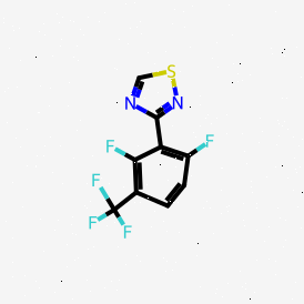 Fc1ccc(C(F)(F)F)c(F)c1-c1ncsn1